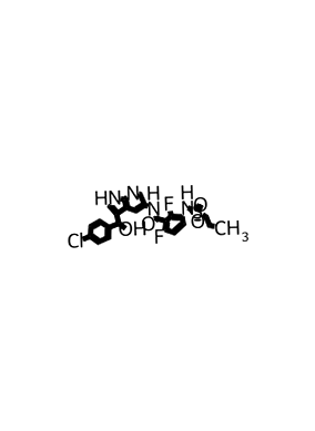 CCCS(=O)(=O)Nc1ccc(F)c(C(=O)Nc2cnc3[nH]cc(C(O)c4ccc(Cl)cc4)c3c2)c1F